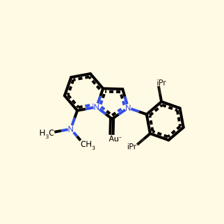 CC(C)c1cccc(C(C)C)c1-n1cc2cccc(N(C)C)n2[c]1=[Au-]